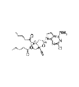 C#C[C@]1(COC(=O)CCCC)O[C@@H](n2ccc3c(N)nc(Cl)nc32)C[C@@H]1OC(=O)CCCC